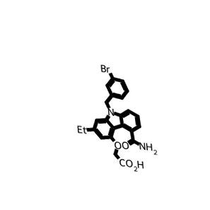 CCc1cc(OCC(=O)O)c2c3c(C(N)=O)cccc3n(Cc3cccc(Br)c3)c2c1